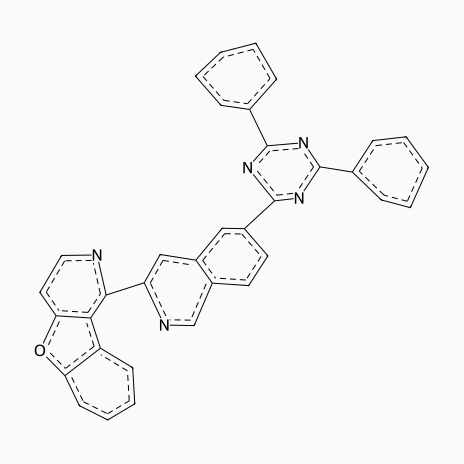 c1ccc(-c2nc(-c3ccccc3)nc(-c3ccc4cnc(-c5nccc6oc7ccccc7c56)cc4c3)n2)cc1